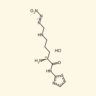 Cl.N[C@@H](CCCNC/N=N/[N+](=O)[O-])C(=O)Nc1nccs1